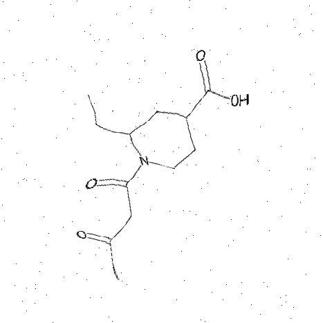 CCC1CC(C(=O)O)CCN1C(=O)CC(C)=O